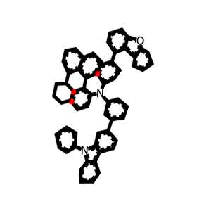 c1ccc(-n2c3ccccc3c3ccc(-c4cccc(N(c5ccc(-c6cccc7oc8ccccc8c67)cc5)c5ccccc5-c5cccc6cccc(C7CCCCC7)c56)c4)cc32)cc1